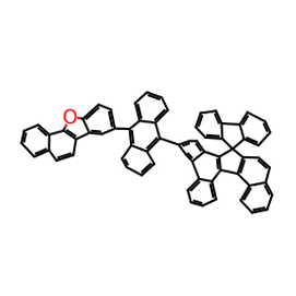 c1ccc2c(c1)-c1ccccc1C21c2ccc3ccccc3c2-c2c1c1ccc(-c3c4ccccc4c(-c4ccc5oc6c7ccccc7ccc6c5c4)c4ccccc34)cc1c1ccccc21